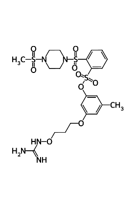 Cc1cc(OCCCONC(=N)N)cc(OS(=O)(=O)c2ccccc2S(=O)(=O)N2CCN(S(C)(=O)=O)CC2)c1